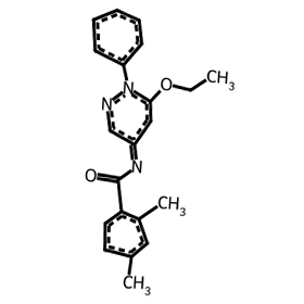 CCOc1cc(=NC(=O)c2ccc(C)cc2C)cnn1-c1ccccc1